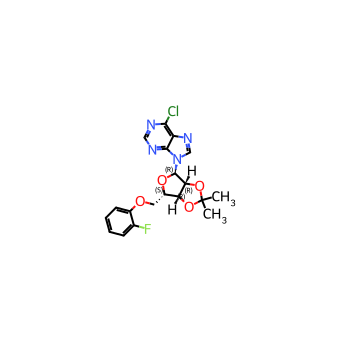 CC1(C)O[C@@H]2[C@H](O1)[C@H](COc1ccccc1F)O[C@H]2n1cnc2c(Cl)ncnc21